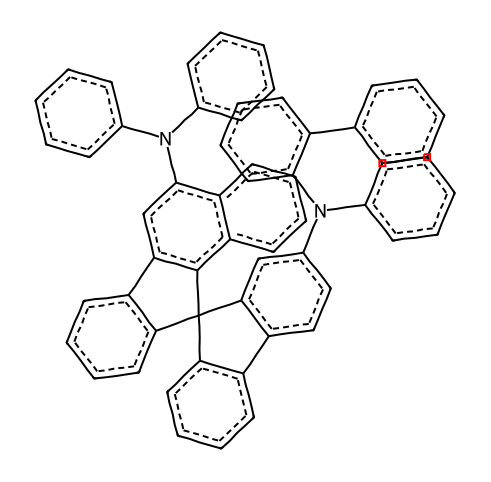 c1ccc(-c2ccccc2N(c2ccccc2)c2ccc3c(c2)C2(c4ccccc4-3)c3ccccc3-c3cc(N(c4ccccc4)c4ccccc4)c4ccccc4c32)cc1